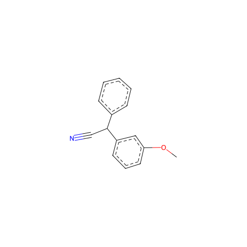 COc1cccc(C(C#N)c2ccccc2)c1